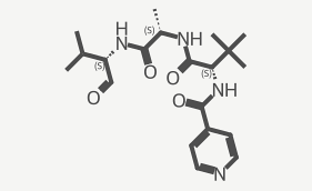 CC(C)[C@@H](C=O)NC(=O)[C@H](C)NC(=O)[C@@H](NC(=O)c1ccncc1)C(C)(C)C